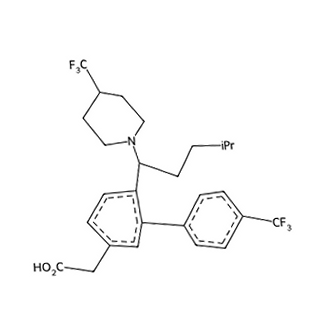 CC(C)CCC(c1ccc(CC(=O)O)cc1-c1ccc(C(F)(F)F)cc1)N1CCC(C(F)(F)F)CC1